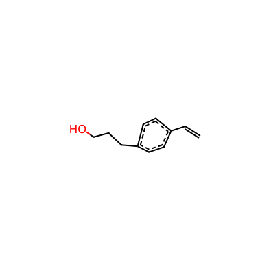 C=Cc1ccc(CCCO)cc1